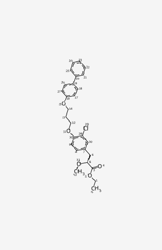 CCOC(=O)[C@H](Cc1ccc(OCCCOc2ccc(-c3ccccc3)cc2)c(Cl)c1)OC